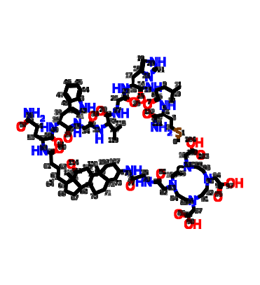 CSCC[C@H](NC(=O)C(CC(C)C)NC(=O)[C@H](Cc1c[nH]cn1)NC(=O)CNC(=O)C(NC(=O)CNC(=O)[C@H](Cc1c[nH]c2ccccc12)NC(=O)C(CCC(N)=O)NC(=O)CC[C@@H](C)C1CCC2C3CCC4CC(NC(=O)CNC(=O)CN5CCN(CC(=O)O)CCN(CC(=O)O)CCN(CC(=O)O)CC5)CCC4(C)C3CC(=O)C21C)C(C)C)C(N)=O